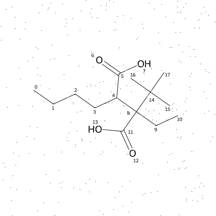 CCCCC(C(=O)O)C(CC)(C(=O)O)C(C)(C)C